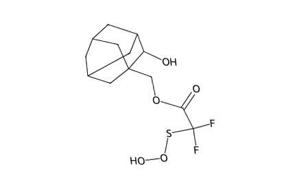 O=C(OCC12CC3CC(CC(C3)C1O)C2)C(F)(F)SOO